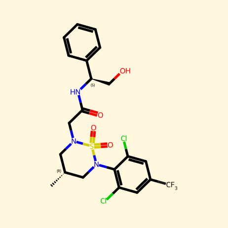 C[C@@H]1CN(CC(=O)N[C@H](CO)c2ccccc2)S(=O)(=O)N(c2c(Cl)cc(C(F)(F)F)cc2Cl)C1